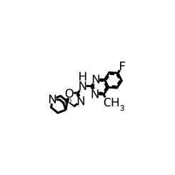 Cc1nc(NC2=NC[C@@]3(CN4CCC3CC4)O2)nc2cc(F)ccc12